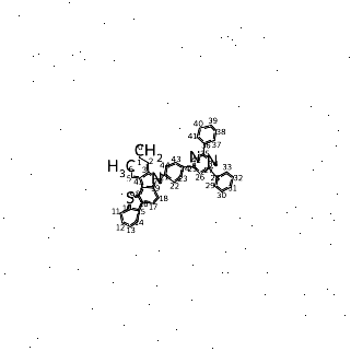 C=C/C=c1\c(=C/C)c2c3sc4ccccc4c3ccc2n1-c1ccc(-c2cc(-c3ccccc3)nc(-c3ccccc3)n2)cc1